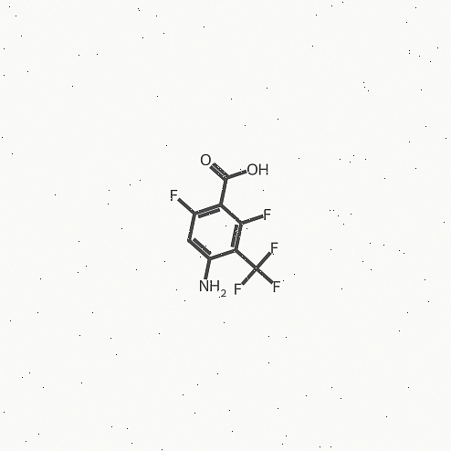 Nc1cc(F)c(C(=O)O)c(F)c1C(F)(F)F